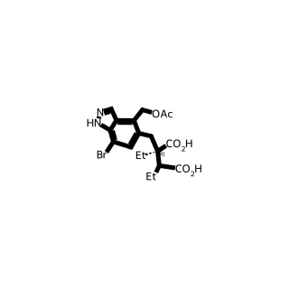 CCC(C(=O)O)[C@@](CC)(Cc1cc(Br)c2[nH]ncc2c1COC(C)=O)C(=O)O